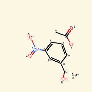 CC(=O)[O-].O=[N+]([O-])c1cccc(CO)c1.[Na+]